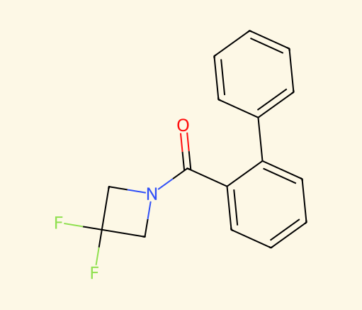 O=C(c1ccccc1-c1ccccc1)N1CC(F)(F)C1